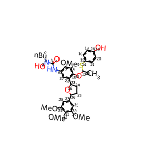 CCCCN(O)C(=O)Nc1cc(OC)c(OC(C)Sc2ccc(O)cc2)c(C2CCC(c3cc(OC)c(OC)c(OC)c3)O2)c1